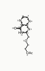 CC(=O)OCCOCc1nc2nccnc2c(=O)[nH]1